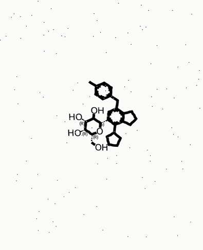 Cc1ccc(Cc2cc([C@@H]3O[C@H](CO)[C@H](O)[C@H](O)C3O)c(C3CCCC3)c3c2CCC3)cc1